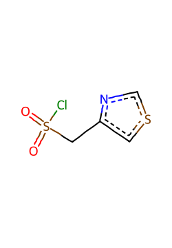 O=S(=O)(Cl)Cc1cscn1